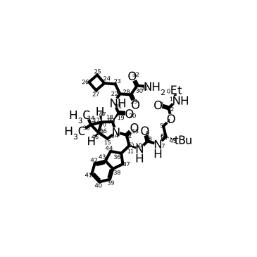 CCNC(=O)OC[C@@H](NC(=O)N[C@H](C(=O)N1C[C@H]2[C@@H]([C@H]1C(=O)NC(CC1CCC1)C(=O)C(N)=O)C2(C)C)C1Cc2ccccc2C1)C(C)(C)C